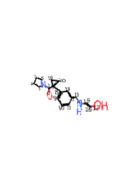 O=C(N1CCCC1)C1(c2cccc(CNCCO)c2)CC1